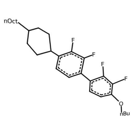 CCCCCCCCC1CCC(c2ccc(-c3ccc(OCCCC)c(F)c3F)c(F)c2F)CC1